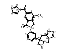 CC(c1cc2c(c(C(F)(F)F)c1)CN(c1cccc(C3(Cc4nncn4C)COC3)c1)C2=O)n1ccnc1